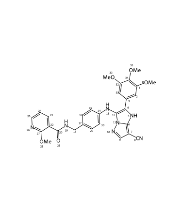 COc1cc(-c2[nH]c3c(C#N)cnn3c2Nc2ccc(CNC(=O)c3cccnc3OC)cc2)cc(OC)c1OC